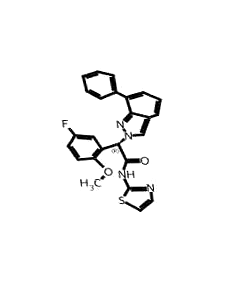 COc1ccc(F)cc1[C@H](C(=O)Nc1nccs1)n1cc2cccc(-c3ccccc3)c2n1